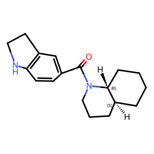 O=C(c1ccc2c(c1)CCN2)N1CCC[C@@H]2CCCC[C@H]21